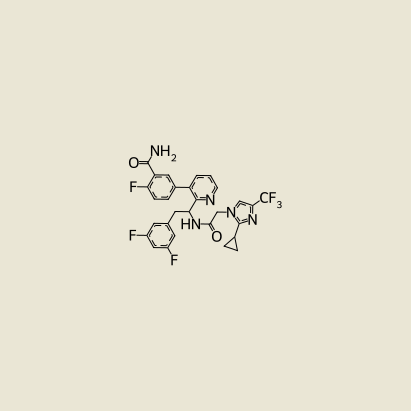 NC(=O)c1cc(-c2cccnc2C(Cc2cc(F)cc(F)c2)NC(=O)Cn2cc(C(F)(F)F)nc2C2CC2)ccc1F